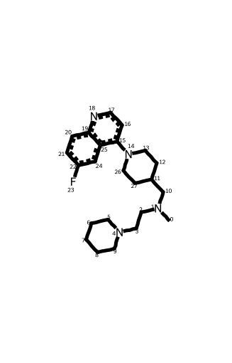 CN(CCN1CCCCC1)CC1CCN(c2ccnc3ccc(F)cc23)CC1